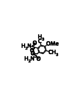 COc1c(C)cc(S(N)(=O)=O)c(S(N)(=O)=O)c1C